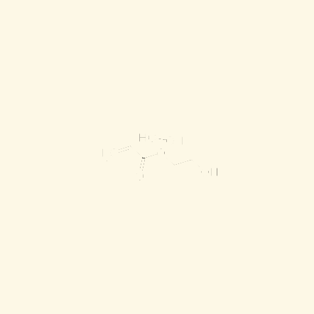 C=CC(=O)OCCO.OO